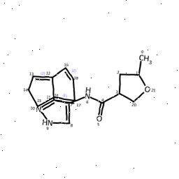 CC1CC(C(=O)Nc2c[nH]nc2C2=C\CC/C=C/C=C\2)CO1